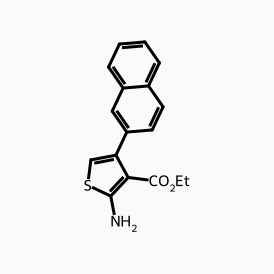 CCOC(=O)c1c(-c2ccc3ccccc3c2)csc1N